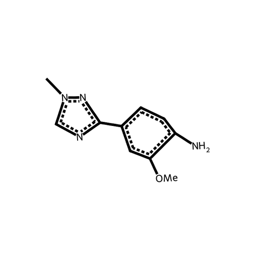 COc1cc(-c2ncn(C)n2)ccc1N